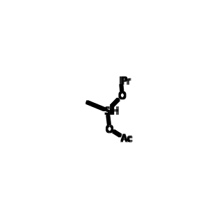 CC(=O)O[SiH](C)OC(C)C